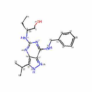 CC[C@@H](CO)Nc1nc(NCc2ccccc2)c2n[nH]c(C(C)C)c2n1